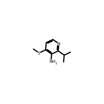 CSc1ccnc(C(C)C)c1N